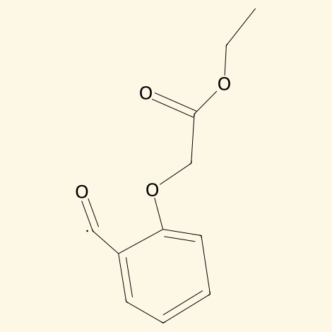 CCOC(=O)COc1ccccc1[C]=O